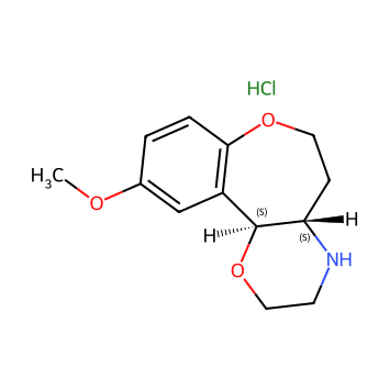 COc1ccc2c(c1)[C@@H]1OCCN[C@H]1CCO2.Cl